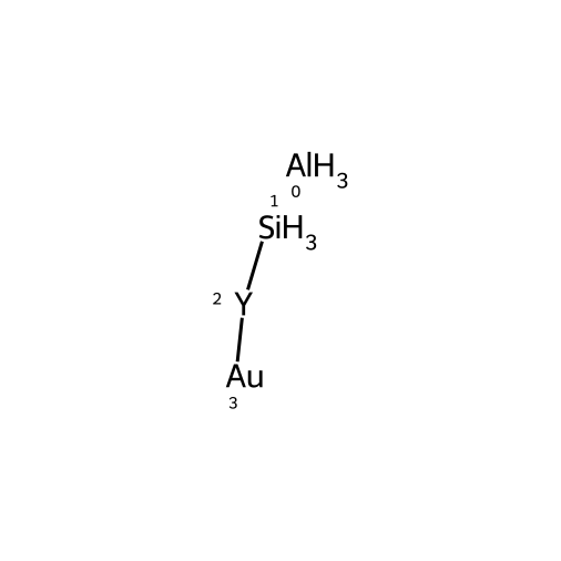 [AlH3].[SiH3][Y][Au]